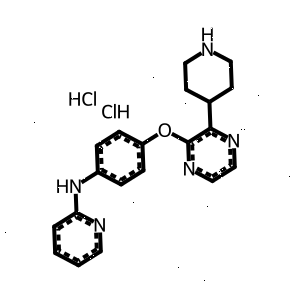 Cl.Cl.c1ccc(Nc2ccc(Oc3nccnc3C3CCNCC3)cc2)nc1